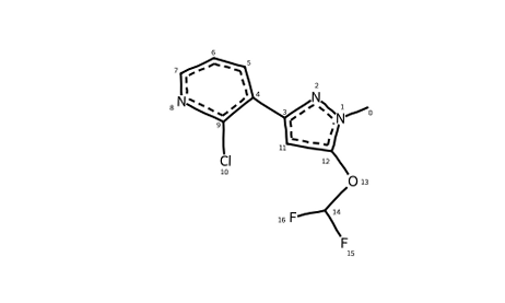 Cn1nc(-c2cccnc2Cl)cc1OC(F)F